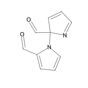 O=Cc1cccn1C1(C=O)C=CC=N1